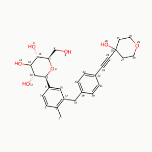 Cc1ccc([C@@H]2O[C@H](CO)[C@@H](O)C(O)[C@H]2O)cc1Cc1ccc(C#CC2(O)CCOCC2)cc1